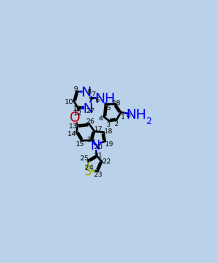 Nc1cccc(Nc2nccc(Oc3ccc4c(ccn4-c4ccsc4)c3)n2)c1